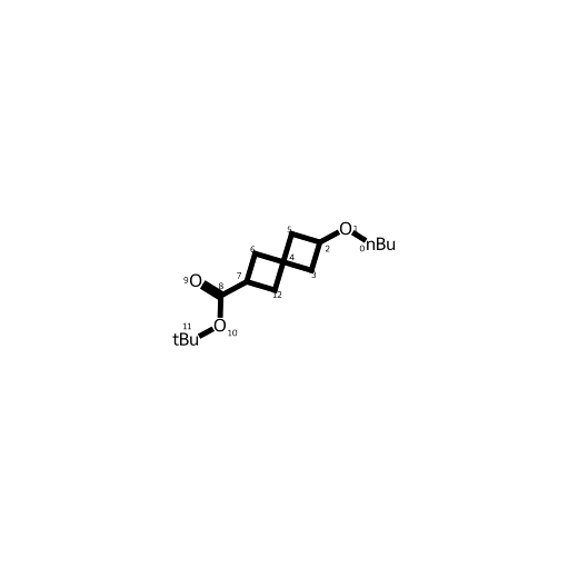 CCCCOC1CC2(C1)CC(C(=O)OC(C)(C)C)C2